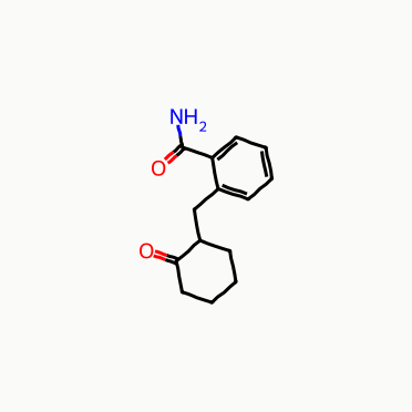 NC(=O)c1ccccc1CC1CCCCC1=O